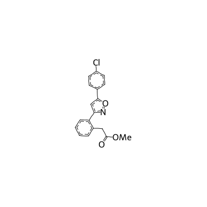 COC(=O)Cc1ccccc1-c1cc(-c2ccc(Cl)cc2)on1